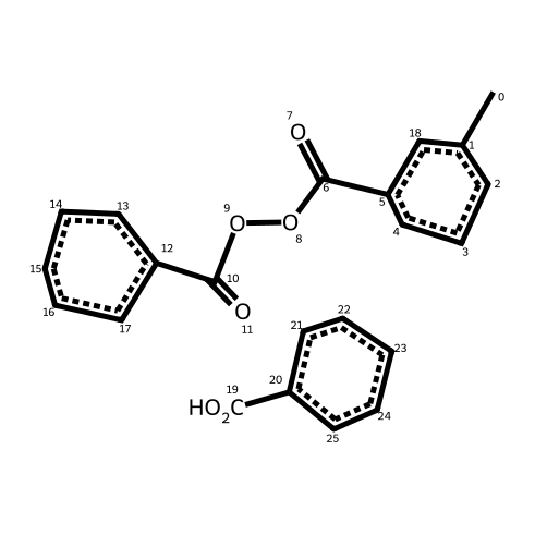 Cc1cccc(C(=O)OOC(=O)c2ccccc2)c1.O=C(O)c1ccccc1